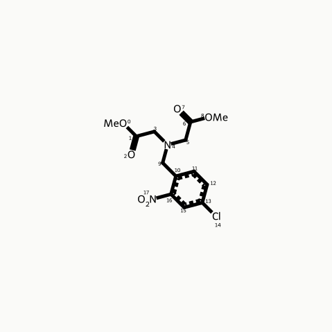 COC(=O)CN(CC(=O)OC)Cc1ccc(Cl)cc1[N+](=O)[O-]